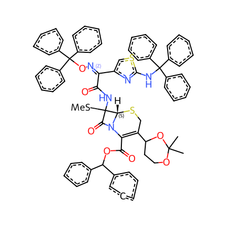 CSC1(NC(=O)/C(=N\OC(c2ccccc2)(c2ccccc2)c2ccccc2)c2csc(NC(c3ccccc3)(c3ccccc3)c3ccccc3)n2)C(=O)N2C(C(=O)OC(c3ccccc3)c3ccccc3)=C(C3CCOC(C)(C)O3)CS[C@H]21